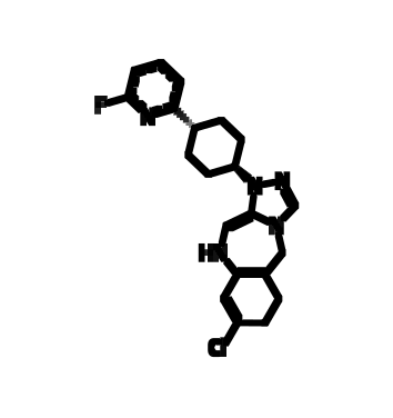 Fc1cccc([C@H]2CC[C@H](N3N=CN4CC5=C(C=C(Cl)CC5)NC=C43)CC2)n1